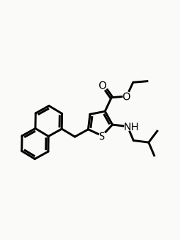 CCOC(=O)c1cc(Cc2cccc3ccccc23)sc1NCC(C)C